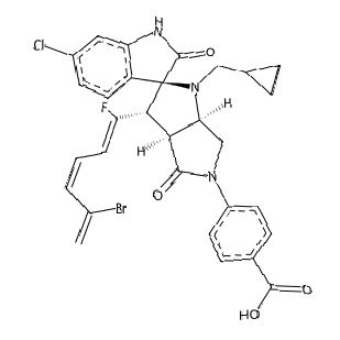 C=C(Br)/C=C\C=C(/F)[C@H]1[C@@H]2C(=O)N(c3ccc(C(=O)O)cc3)C[C@@H]2N(CC2CC2)[C@@]12C(=O)Nc1cc(Cl)ccc12